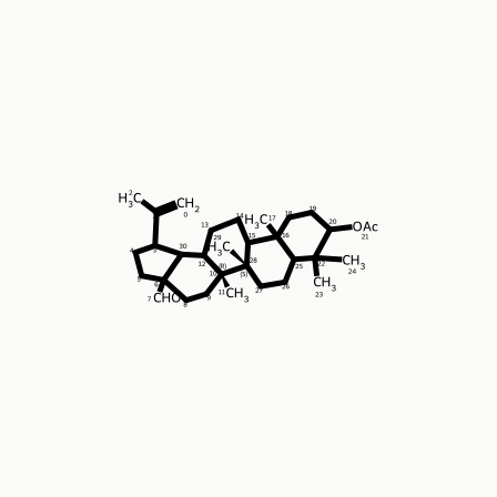 C=C(C)C1CCC2(C=O)CC[C@]3(C)C(CCC4C5(C)CCC(OC(C)=O)C(C)(C)C5CC[C@@]43C)C12